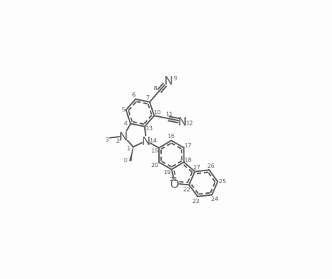 C[C@H]1N(C)c2ccc(C#N)c(C#N)c2N1c1ccc2c(c1)oc1ccccc12